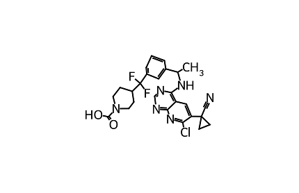 CC(Nc1ncnc2nc(Cl)c(C3(C#N)CC3)cc12)c1cccc(C(F)(F)C2CCN(C(=O)O)CC2)c1